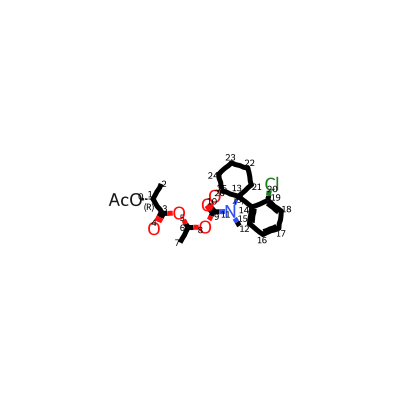 CC(=O)O[C@H](C)C(=O)OC(C)OC(=O)N(C)[C@]1(c2ccccc2Cl)CCCCC1=O